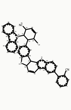 N#Cc1ccccc1-c1ccc2sc3c(c2c1)C=CC1Sc2ccc(C4C(I)C=CC(C#N)C4n4c5ccccc5c5ccccc54)cc2C31